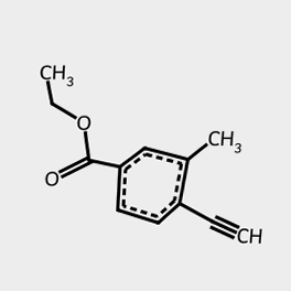 C#Cc1ccc(C(=O)OCC)cc1C